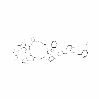 CCOc1cc(COCC2OC(OC3C(CO)OC(Oc4ccc(CC5NC(=O)C(C(C)c6ccccc6)NC(=O)CNC(=O)C(CO)NC(=O)C(C(O)C6CNC(=N)N6C6OC(CO)C(O)C(O)C6O)NC(=O)C(C(O)C6CNC(=N)N6)NC5=O)cc4)C(O)C3O)C(O)C(O)C2O)ccc1OC